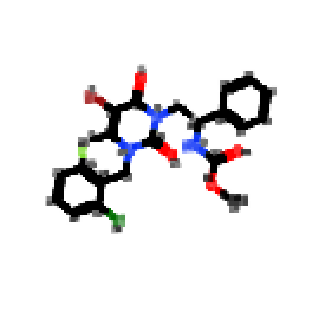 Cc1c(Br)c(=O)n(C[C@@H](NC(=O)OC(C)(C)C)c2ccccc2)c(=O)n1Cc1c(F)cccc1Cl